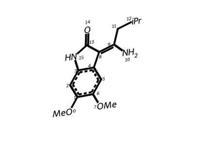 COc1cc2c(cc1OC)C(=C(N)CC(C)C)C(=O)N2